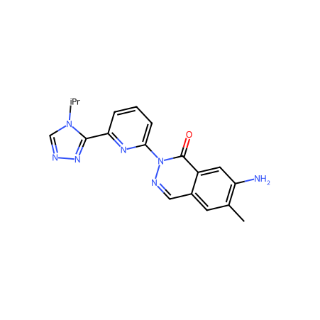 Cc1cc2cnn(-c3cccc(-c4nncn4C(C)C)n3)c(=O)c2cc1N